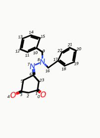 O=C1CC(=O)CC(=NN(Cc2ccccc2)Cc2ccccc2)C1